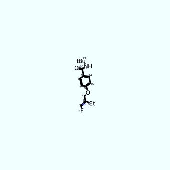 CC/C(=C\F)COc1ccc(C(=O)NC(C)(C)C)cc1